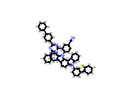 N#Cc1ccc(-n2c3ccccc3c3ccc4c(c5ccccc5n4-c4cccc5c4sc4ccccc45)c32)c(-c2nc(-c3ccccc3)nc(-c3ccc(-c4ccccc4)cc3)n2)c1